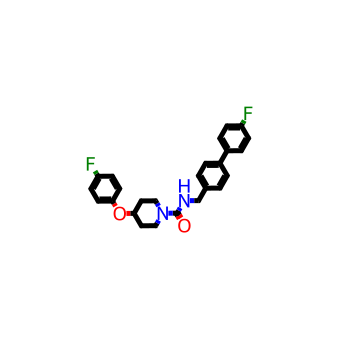 O=C(NCc1ccc(-c2ccc(F)cc2)cc1)N1CCC(Oc2ccc(F)cc2)CC1